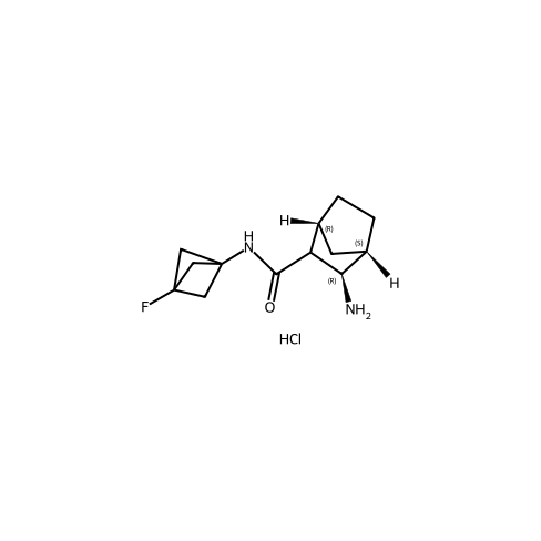 Cl.N[C@H]1C(C(=O)NC23CC(F)(C2)C3)[C@@H]2CC[C@H]1C2